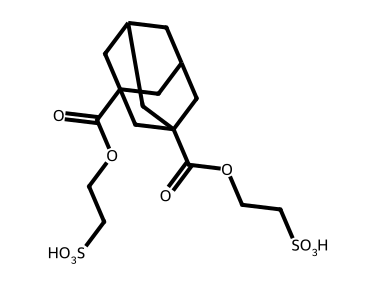 O=C(OCCS(=O)(=O)O)C12CC3CC(C1)CC(C(=O)OCCS(=O)(=O)O)(C3)C2